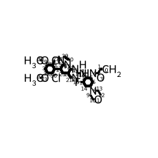 C=CC(=O)Nc1cc(N2CCOCC2)cc(F)c1Nc1ncc2cc(-c3c(Cl)c(OC)cc(OC)c3Cl)c3nccn3c2n1